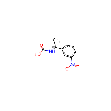 C[C@H](NC(=O)O)c1cccc([N+](=O)[O-])c1